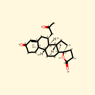 CC(=O)C[C@@H]1CC2=CC(=O)CC[C@]2(C)[C@H]2CC[C@@]3(C)[C@@H](CC[C@@]34CCC(=O)O4)[C@H]12